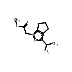 COC(=O)Cn1nc(C(C)C)c2c1CCC2